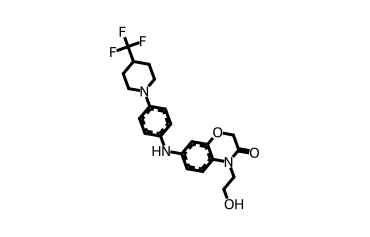 O=C1COc2cc(Nc3ccc(N4CCC(C(F)(F)F)CC4)cc3)ccc2N1CCO